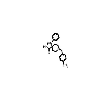 Cc1ccc(CN2CCC3(CC2)C(=O)NCN3c2ccccc2)cc1